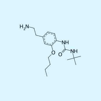 CCCCOc1cc(CCN)ccc1NC(=O)NC(C)(C)C